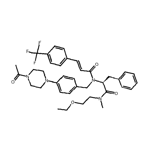 CCOCCN(C)C(=O)[C@H](Cc1ccccc1)N(Cc1ccc(N2CCN(C(C)=O)CC2)cc1)C(=O)/C=C/c1ccc(C(F)(F)F)cc1